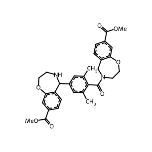 COC(=O)c1ccc2c(c1)OCCN(C(=O)c1c(C)cc(C3NCCOc4cc(C(=O)OC)ccc43)cc1C)C2